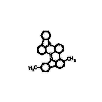 Cc1ccc2c3ccc(C)c4c3n(c2c1)B1c2c-4cccc2-n2c3ccccc3c3cccc1c32